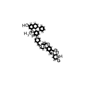 COc1c([C@@H]2c3ccc(O)cc3CC[C@@H]2c2ccccc2)ccc(N2CCC(CN3CCN4c5cc6c(cc5OC[C@@H]4C3)C(=O)N([C@H]3CCC(=O)NC3=O)C6)CC2)c1F